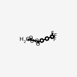 C=CC(=O)OCCOC(=O)C1CCC(C2CCC(c3cc(F)c(F)c(F)c3)CC2)CC1